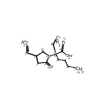 C=CC1CC(=O)N([C@@](CC)(CCCC)C(=O)O)C1